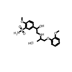 COc1ccccc1OCC(C)NCC(O)c1ccc(OC)c(S(N)(=O)=O)c1.Cl